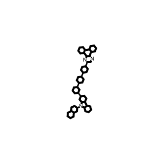 c1cc(-c2ccc(-c3ccc(-c4cnc5c6ccccc6c6ccccc6c5n4)cc3)cc2)cc(-c2ccc3c4ccccc4n(-c4ccc5ccccc5c4)c3c2)c1